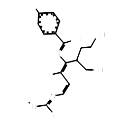 CCCC(CC)C(/N=C(\C)c1ccc(C)cc1)=C(C)\C=C/N=C(\C)NC